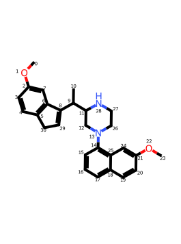 COc1ccc2c(c1)C(C(C)C1CN(c3cccc4ccc(OC)cc34)CCN1)=CC2